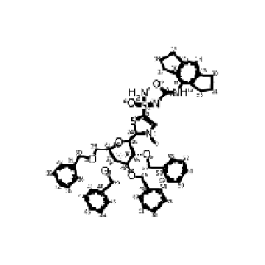 CN1C=C(S(N)(=O)=NC(=O)Nc2c3c(cc4c2CCC4)CCC3)SC1C1O[C@H](COCc2ccccc2)[C@@H](OCc2ccccc2)[C@H](OCc2ccccc2)[C@H]1OCc1ccccc1